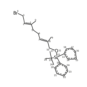 C/C(=C\CBr)CC/C=C(\C)CO[Si](c1ccccc1)(c1ccccc1)C(C)(C)C